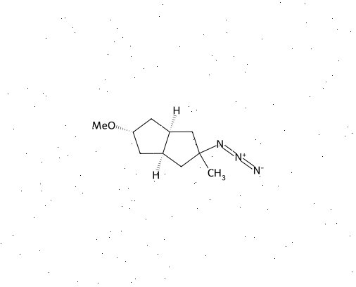 CO[C@H]1C[C@@H]2CC(C)(N=[N+]=[N-])C[C@@H]2C1